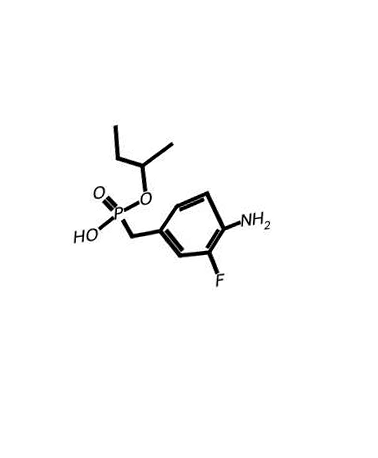 CCC(C)OP(=O)(O)Cc1ccc(N)c(F)c1